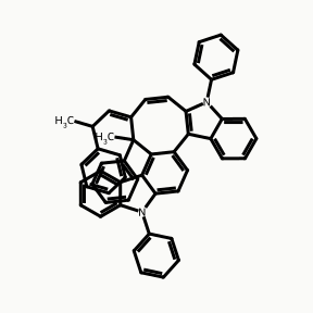 CC(/C=C1/C=C\c2c(c3ccccc3n2-c2ccccc2)-c2ccc3c(c2C1(C)c1ccccc1)c1ccccc1n3-c1ccccc1)c1ccccc1